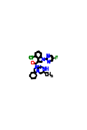 C[C@H]1CN(C2(CNC(=O)c3cn(-c4ncc(F)cn4)c4cccc(Cl)c34)CCCCC2)CCN1